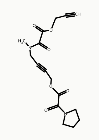 C#CCOC(=O)C(=O)N(C)CC#CCOC(=O)C(=O)N1CCCC1